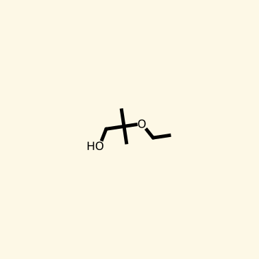 CCOC(C)(C)CO